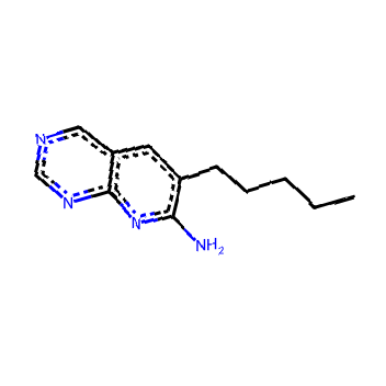 CCCCCc1cc2cncnc2nc1N